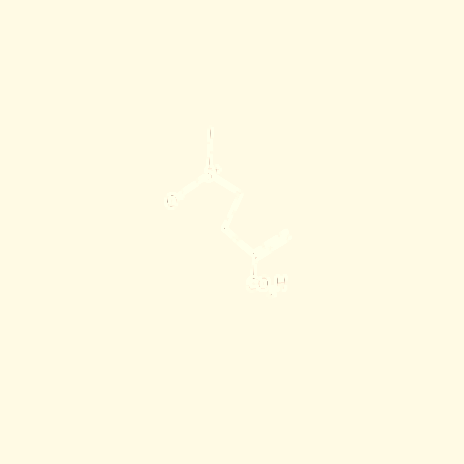 C=C(CC[S+](C)[O-])C(=O)O